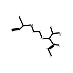 C=CC(C)NCCNC(/C(C)=C/C)C(C)Cl